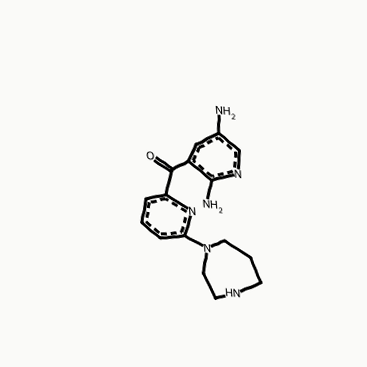 Nc1cnc(N)c(C(=O)c2cccc(N3CCCNCC3)n2)c1